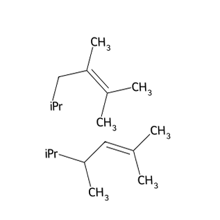 CC(C)=C(C)CC(C)C.CC(C)=CC(C)C(C)C